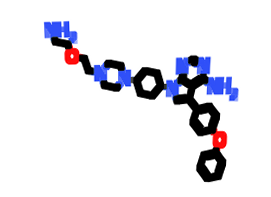 NCCOCCN1CCN([C@H]2CC[C@@H](n3cc(-c4ccc(Oc5ccccc5)cc4)c4c(N)ncnc43)CC2)CC1